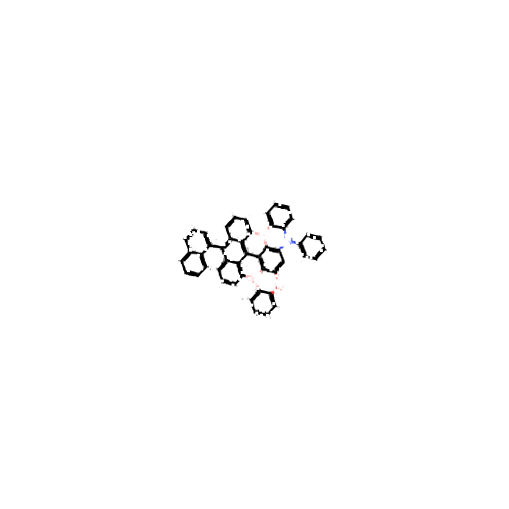 c1ccc(N2c3ccccc3B3c4c2cc2c5c4-c4c6c(cccc6c(-c6cccc7ccccc67)c6cccc3c46)B5c3ccccc3O2)cc1